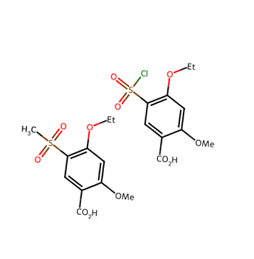 CCOc1cc(OC)c(C(=O)O)cc1S(=O)(=O)Cl.CCOc1cc(OC)c(C(=O)O)cc1S(C)(=O)=O